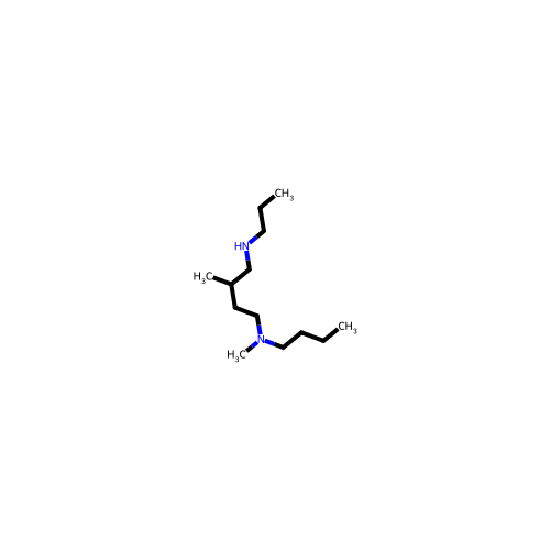 CCCCN(C)CCC(C)CNCCC